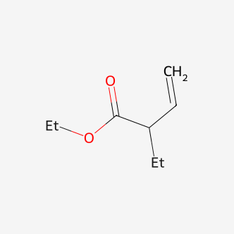 C=CC(CC)C(=O)OCC